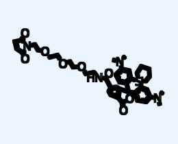 CN(C)c1ccc2c(c1)[Si]1(CCCCC1)c1cc(N(C)C)ccc1C21OC(=O)c2ccc(C(=O)NCCOCCOCCOCCN3C(=O)C=CC3=O)cc21